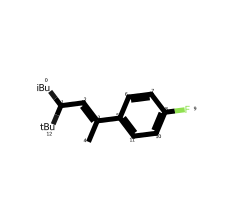 CCC(C)C(/C=C(\C)c1ccc(F)cc1)C(C)(C)C